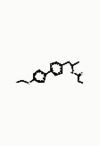 CCOc1ccc(-c2ccc(CC(C)NC(=O)CC)cc2)cc1